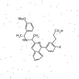 COc1cccc([C@@H](C)NC(C)c2cc3ccccc3c(-c3ccc(F)c(CCC(=O)O)c3)n2)c1